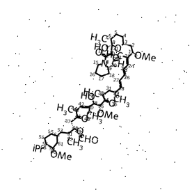 CO[C@@H](C[C@@H]1CC[C@@H](C)[C@](O)(C(=O)C(=O)N2CCCC[C@H]2C)O1)/C(C)=C/C=C/C=C/[C@@H](C)C[C@@H](C)C(=O)[C@H](OC)[C@H](O)/C(C)=C/[C@@H](C)C(=O)C[C@H](OC=O)[C@H](C)C[C@@H]1CC[C@@H](C(C)C)[C@H](OC)C1